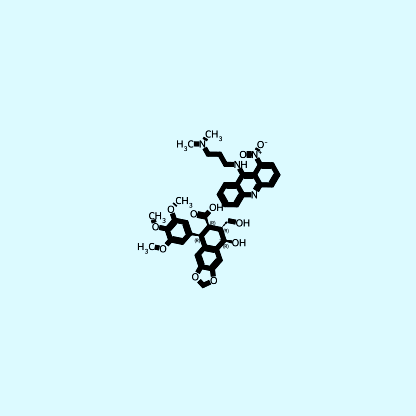 CN(C)CCCNc1c2ccccc2nc2cccc([N+](=O)[O-])c12.COc1cc([C@@H]2c3cc4c(cc3[C@H](O)[C@@H](CO)[C@@H]2C(=O)O)OCO4)cc(OC)c1OC